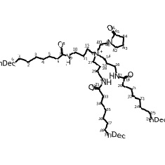 CCCCCCCCCCCCCCCCC(=O)NCCC[N+](CCCNC(=O)CCCCCCCCCCCCCCCC)(CCCNC(=O)CCCCCCCCCCCCCCCC)CN1CCCC1=O